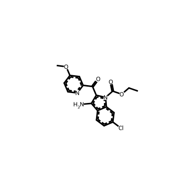 CCOC(=O)n1c(C(=O)c2cc(OC)ccn2)c(N)c2ccc(Cl)cc21